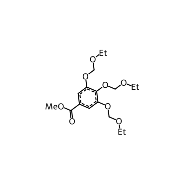 CCOCOc1cc(C(=O)OC)cc(OCOCC)c1OCOCC